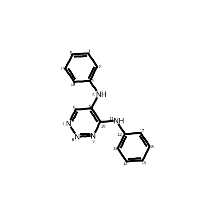 c1ccc(Nc2cnnnc2Nc2ccccc2)cc1